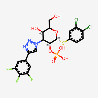 O=P(O)(O)O[C@H]1C(n2cc(-c3cc(F)c(F)c(F)c3)nn2)[C@@H](O)C(CO)O[C@@H]1Sc1ccc(Cl)c(Cl)c1